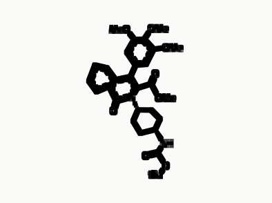 COC(=O)c1c(-c2cc(OC)c(OC)c(OC)c2)c2ccccc2c(=O)n1[C@H]1CC[C@H](NC(=O)OC(C)(C)C)CC1